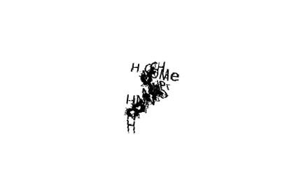 COC(C)(C)c1cc(-n2c3nc(Nc4ccc5c(c4)CCNC5)ncc3c(=O)n2C(C)C)ccn1